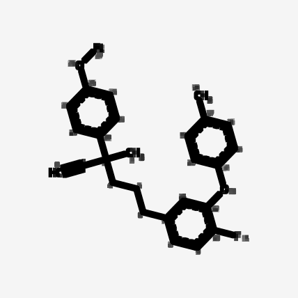 C#CC(C)(CCCc1ccc(F)c(Oc2ccc(C)cc2)c1)c1ccc(OCC)cc1